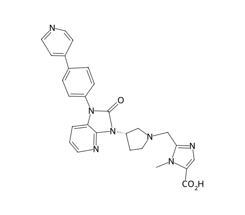 Cn1c(C(=O)O)cnc1CN1CC[C@H](n2c(=O)n(-c3ccc(-c4ccncc4)cc3)c3cccnc32)C1